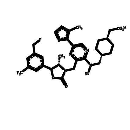 CCN(C[C@H]1CC[C@H](CC(=O)O)CC1)c1ncc(-c2sccc2C)nc1CN1C(=O)OC(c2cc(CF)cc(C(F)(F)F)c2)[C@@H]1C